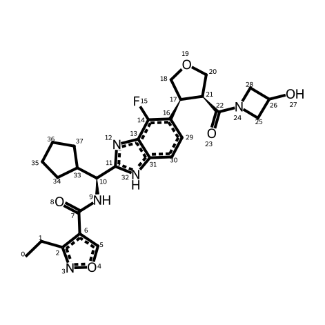 CCc1nocc1C(=O)N[C@H](c1nc2c(F)c([C@H]3COC[C@H]3C(=O)N3CC(O)C3)ccc2[nH]1)C1CCCC1